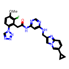 COc1ccc(-n2cnnn2)c(CC(=O)Nc2cc(NCc3cn4cc(C5CC5)ccc4n3)ncn2)c1F